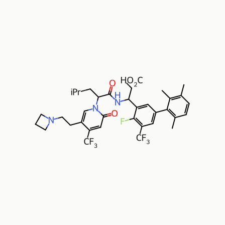 Cc1ccc(C)c(-c2cc(C(CC(=O)O)NC(=O)C(CC(C)C)n3cc(CCN4CCC4)c(C(F)(F)F)cc3=O)c(F)c(C(F)(F)F)c2)c1C